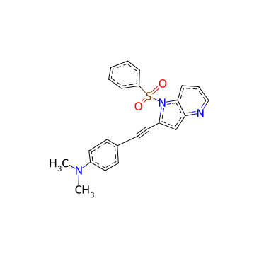 CN(C)c1ccc(C#Cc2cc3ncccc3n2S(=O)(=O)c2ccccc2)cc1